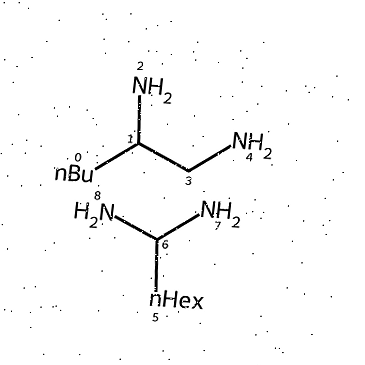 CCCCC(N)CN.CCCCCCC(N)N